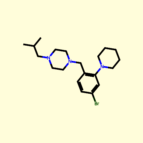 C[C](C)CN1CCN(Cc2ccc(Br)cc2N2CCCCC2)CC1